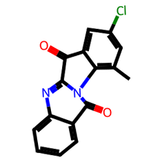 Cc1cc(Cl)cc2c1-n1c(nc3ccccc3c1=O)C2=O